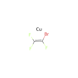 FC(F)=C(F)Br.[Cu]